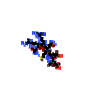 CSCC[C@H](NC(=O)[C@H](CCC(=O)O)NC(=O)[C@H](CCC(=O)O)NC(C)=O)C(=O)N[C@@H](CCC(N)=O)C(=O)N[C@@H](CCCNC(=N)N)C(=O)N[C@@H](CCCNC(=N)N)C(=O)NCC(N)=O